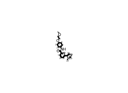 COCCOC1CCC(NC(=O)c2cccc(-c3cncn3C)n2)CC1